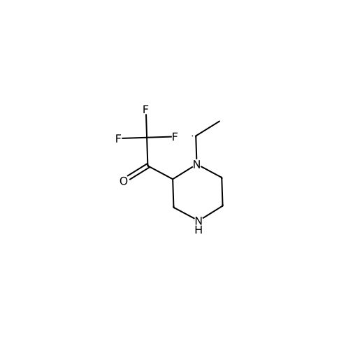 C[CH]N1CCNCC1C(=O)C(F)(F)F